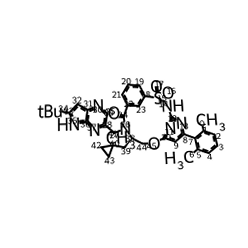 Cc1cccc(C)c1-c1cc2nc(n1)NS(=O)(=O)c1cccc(c1)C(=O)N(Cc1cnc3cc(C(C)(C)C)[nH]c3n1)[C@H](CC1(C)CC1)CO2